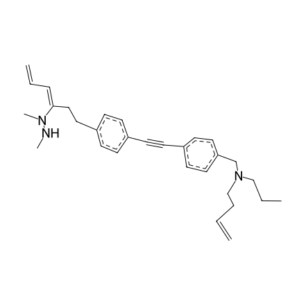 C=C/C=C(/CCc1ccc(C#Cc2ccc(CN(CCC)CCC=C)cc2)cc1)N(C)NC